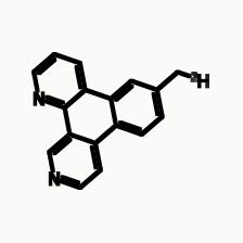 [2H]Cc1ccc2c(c1)c1cccnc1c1cnccc21